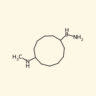 CNC1CCCCCC(BN)CCCC1